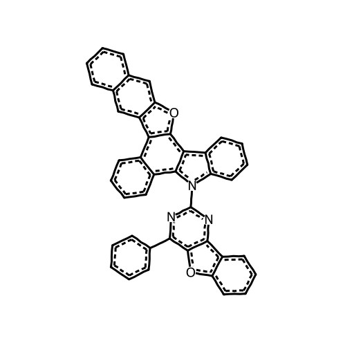 c1ccc(-c2nc(-n3c4ccccc4c4c5oc6cc7ccccc7cc6c5c5ccccc5c43)nc3c2oc2ccccc23)cc1